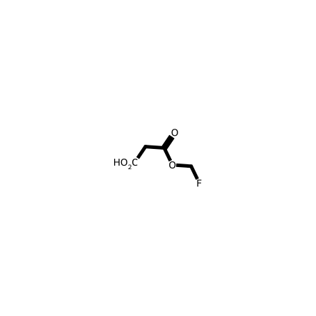 O=C(O)CC(=O)OCF